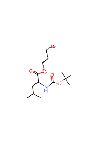 CC(C)CC(NC(=O)OC(C)(C)C)C(=O)OCCCBr